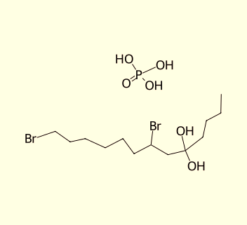 CCCCC(O)(O)CC(Br)CCCCCCBr.O=P(O)(O)O